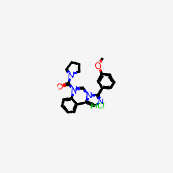 COc1cccc(-c2ncc3n2CN(C(=O)N2CCCC2)c2ccccc2-3)c1.Cl